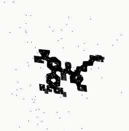 CC(C)SCCOCn1cc(C#N)nc1C(=O)Nc1ccc(C2(C#N)CC2)cc1C1=CCC(C)(C)CC1